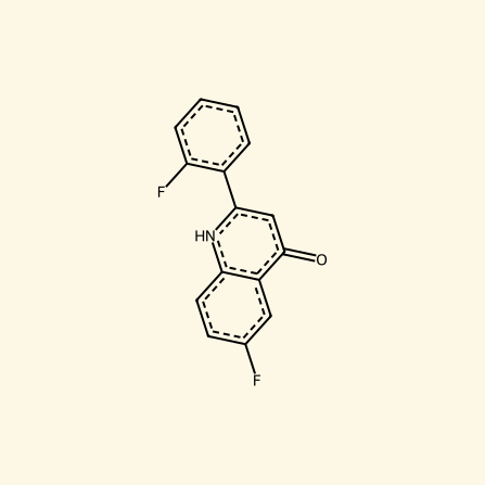 O=c1cc(-c2ccccc2F)[nH]c2ccc(F)cc12